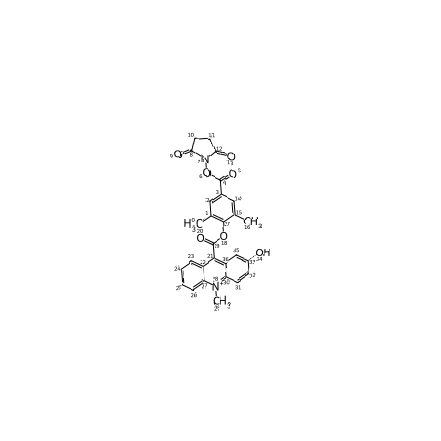 Cc1cc(C(=O)ON2C(=O)CCC2=O)cc(C)c1OC(=O)c1c2ccccc2[n+](C)c2ccc(O)cc12